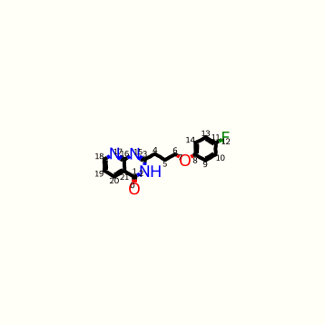 O=c1[nH]c(CCCOc2ccc(F)cc2)nc2ncccc12